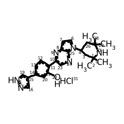 CC1(C)CC(n2ccc3nc(-c4ccc(-c5cn[nH]c5)cc4O)cnc32)CC(C)(C)N1.Cl